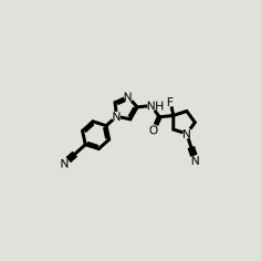 N#Cc1ccc(-n2cnc(NC(=O)C3(F)CCN(C#N)C3)c2)cc1